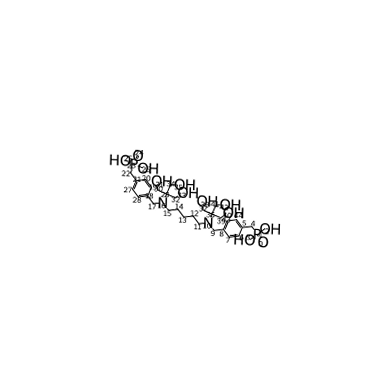 O=P(O)(O)Cc1ccc(CN(CCCCCN(Cc2ccc(CP(=O)(O)O)cc2)C(CO)(CO)CO)C(CO)(CO)CO)cc1